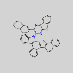 c1ccc2cc(-c3nc4c(nc3-n3c5ccccc5c5c6ccccc6c6c7ccc8ccccc8c7sc6c53)sc3ccccc34)ccc2c1